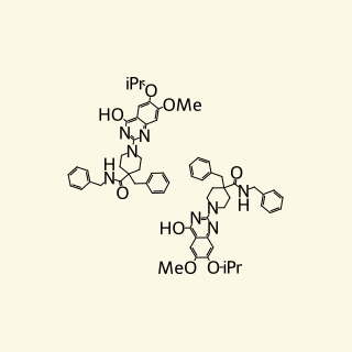 COc1cc2c(O)nc(N3CCC(Cc4ccccc4)(C(=O)NCc4ccccc4)CC3)nc2cc1OC(C)C.COc1cc2nc(N3CCC(Cc4ccccc4)(C(=O)NCc4ccccc4)CC3)nc(O)c2cc1OC(C)C